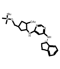 CC(=O)OC1CC(CO[Si](C)(C)C(C)(C)C)CC1Nc1cc(N[C@H]2CCc3ccccc32)ncn1